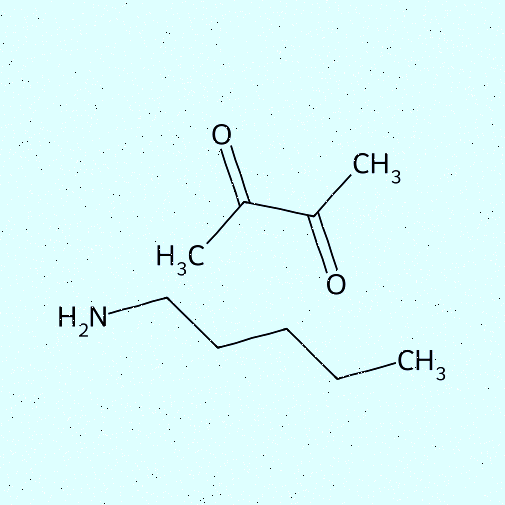 CC(=O)C(C)=O.CCCCCN